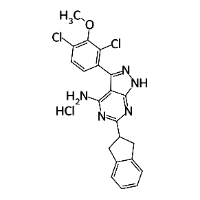 COc1c(Cl)ccc(-c2n[nH]c3nc(C4Cc5ccccc5C4)nc(N)c23)c1Cl.Cl